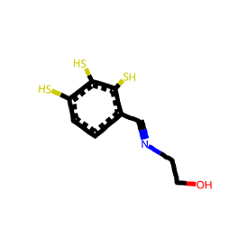 OCCN=Cc1ccc(S)c(S)c1S